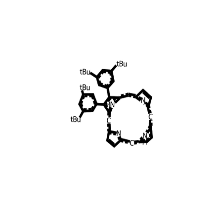 CC(C)(C)c1cc(-c2c(-c3cc(C(C)(C)C)cc(C(C)(C)C)c3)c3cc4nc(cc5ccc(cc6nc(cc2[nH]3)C=C6)[nH]5)C=C4)cc(C(C)(C)C)c1